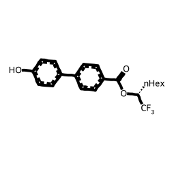 CCCCCC[C@@H](OC(=O)c1ccc(-c2ccc(O)cc2)cc1)C(F)(F)F